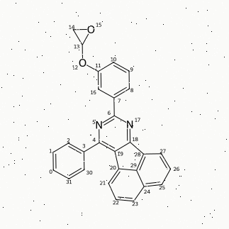 c1ccc(-c2nc(-c3cccc(OC4CO4)c3)nc3c2-c2cccc4cccc-3c24)cc1